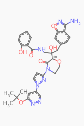 CC(C)(C)Oc1cc(-n2ccc(N3CCO[C@H](C(O)(CNC(=O)c4ccccc4O)Cc4ccc5c(N)noc5c4)C3=O)n2)cnn1